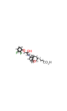 O=C(O)CCC[C@H]1CC[C@H]2[C@H](CC[C@@H]2/C=C/[C@@H](O)COc2cccc(F)c2F)OC1